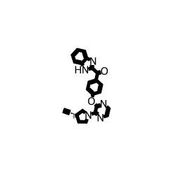 C#C[C@H]1CCN(c2nccnc2Oc2ccc(C(=O)c3nc4ccccc4[nH]3)cc2)C1